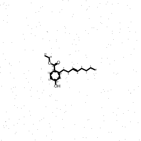 CCCCC=CCCc1cc(O)ccc1C(=O)OCC